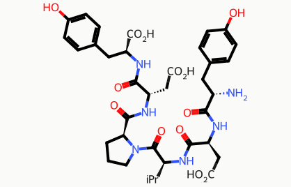 CC(C)[C@H](NC(=O)[C@H](CC(=O)O)NC(=O)[C@@H](N)Cc1ccc(O)cc1)C(=O)N1CCC[C@H]1C(=O)N[C@@H](CC(=O)O)C(=O)N[C@@H](Cc1ccc(O)cc1)C(=O)O